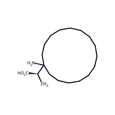 C[C@@H](C(=O)O)C1(N)CCCCCCCCCCCCCCC1